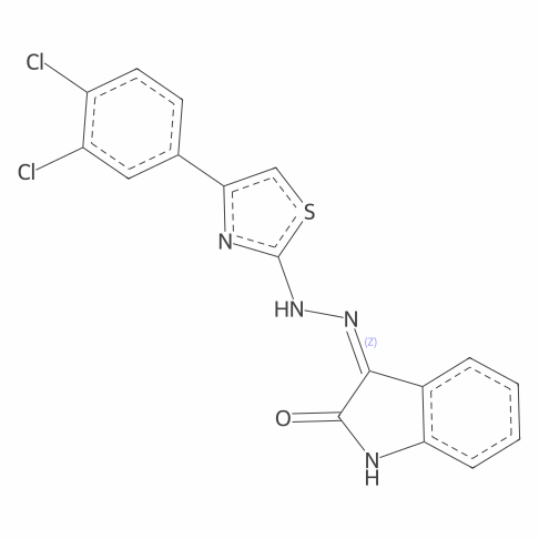 O=C1Nc2ccccc2/C1=N/Nc1nc(-c2ccc(Cl)c(Cl)c2)cs1